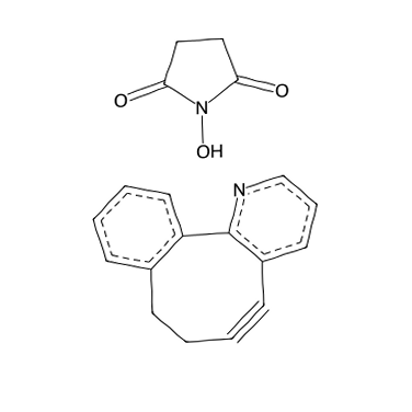 C1#Cc2cccnc2-c2ccccc2CC1.O=C1CCC(=O)N1O